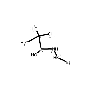 CCBNB(O)C(C)(C)C